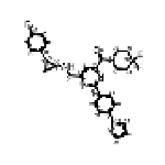 O=C(c1cc(CN[C@@H]2C[C@H]2c2ccc(F)cc2)nc(-c2ccc(-n3cccn3)cc2)n1)N1CCC(F)(F)CC1